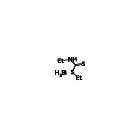 CCNC(=S)SCC.[BiH3]